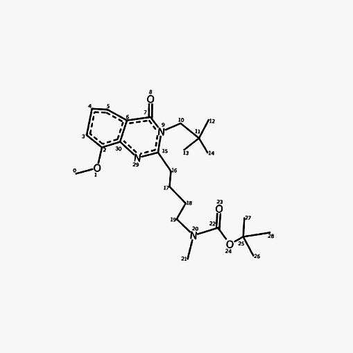 COc1cccc2c(=O)n(CC(C)(C)C)c(CCCCN(C)C(=O)OC(C)(C)C)nc12